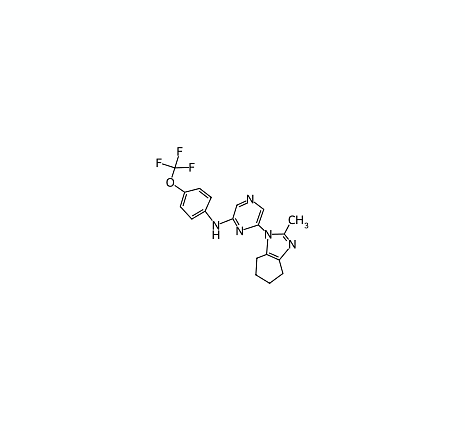 Cc1nc2c(n1-c1cncc(Nc3ccc(OC(F)(F)F)cc3)n1)CCCC2